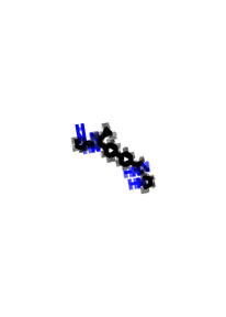 c1cc(-c2cnc([C@@H]3CCCN3)[nH]2)ccc1-c1ccc(-c2[nH]c([C@@H]3CCCN3)nc2C2CC2)cc1